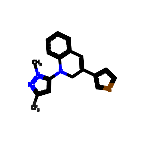 Cn1nc(C(F)(F)F)cc1N1CC(c2ccsc2)=Cc2ccccc21